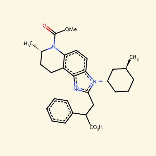 COC(=O)N1c2ccc3c(nc(CC(C(=O)O)c4ccccc4)n3[C@H]3CCC[C@H](C)C3)c2CC[C@@H]1C